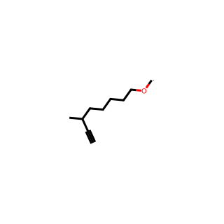 C#CC(C)CCCCCO[CH2]